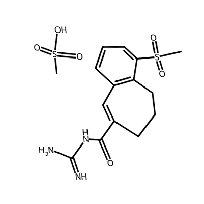 CS(=O)(=O)O.CS(=O)(=O)c1cccc2c1CCCC(C(=O)NC(=N)N)=C2